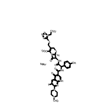 O=CN1CCN(c2nc3[nH]cc(C(=O)NC(C(=O)NC4C(=O)N5C(C(=O)[O-])=C(CSc6nnnn6CC(=O)[O-])CS[C@@H]45)c4ccc(O)cc4)c(=O)c3cc2F)CC1.[Na+].[Na+]